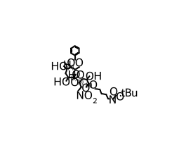 CN(CCCCCO[C@@H]1OC(C[N+](=O)[O-])[C@@H](O[C@@H]2OC3COC(c4ccccc4)O[C@@H]3C(O)CC2O)C(O)C1O)C(=O)OC(C)(C)C